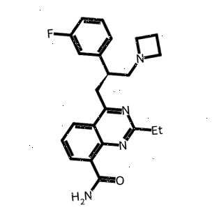 CCc1nc(C[C@H](CN2CCC2)c2cccc(F)c2)c2cccc(C(N)=O)c2n1